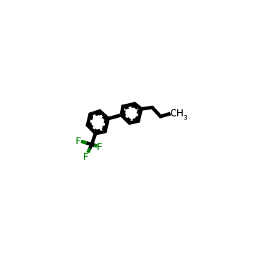 CCCc1ccc(-c2cccc(C(F)(F)F)c2)cc1